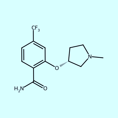 CN1CC[C@@H](Oc2cc(C(F)(F)F)ccc2C(N)=O)C1